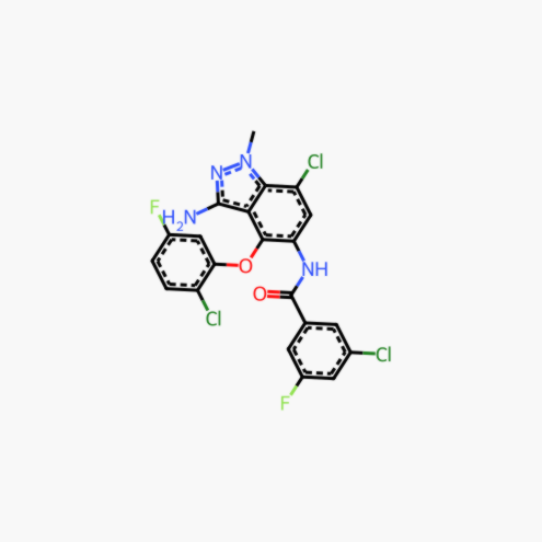 Cn1nc(N)c2c(Oc3cc(F)ccc3Cl)c(NC(=O)c3cc(F)cc(Cl)c3)cc(Cl)c21